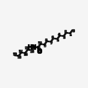 CCCCCCCCCCCC(=O)NCCCCCC